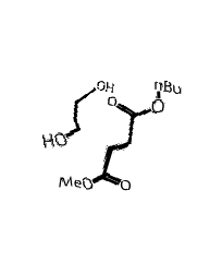 CCCCOC(=O)CCC(=O)OC.OCCO